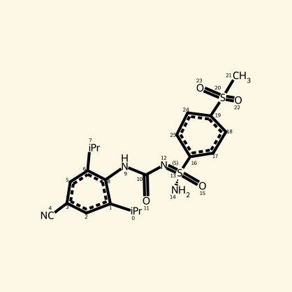 CC(C)c1cc(C#N)cc(C(C)C)c1NC(=O)N=[S@](N)(=O)c1ccc(S(C)(=O)=O)cc1